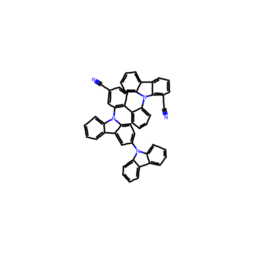 N#Cc1ccc(-c2ccccc2-n2c3ccccc3c3cccc(C#N)c32)c(-n2c3ccccc3c3cc(-n4c5ccccc5c5ccccc54)ccc32)c1